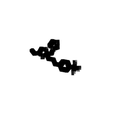 CCC1CSC(CCCc2ccc(C(F)(F)F)cc2)(Cn2ccnc2)S1